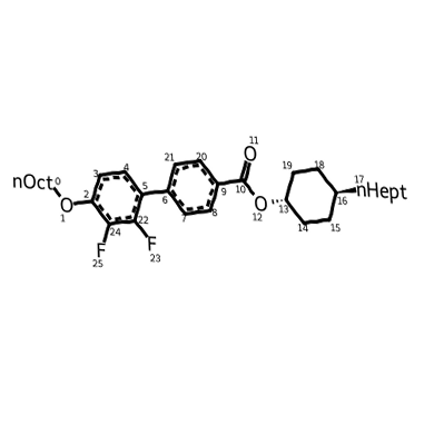 CCCCCCCCOc1ccc(-c2ccc(C(=O)O[C@H]3CC[C@H](CCCCCCC)CC3)cc2)c(F)c1F